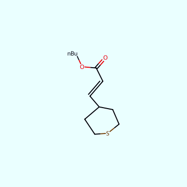 CCCCOC(=O)C=CC1CCSCC1